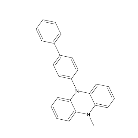 CN1c2ccccc2N(c2ccc(-c3ccccc3)cc2)c2ccccc21